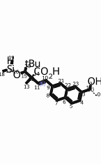 C[C@@H](O)c1ccc2ccc(/C=C/[C@@](C)(C(=O)O)C(O[SiH](C)C)C(C)(C)C)cc2c1